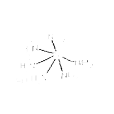 Cl.[NH2][Ni]([NH2])([NH2])([NH2])([NH2])[NH2]